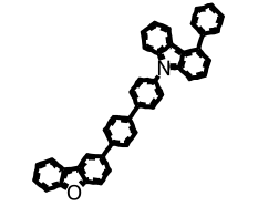 c1ccc(-c2cccc3c2c2ccccc2n3-c2ccc(-c3ccc(-c4ccc5oc6ccccc6c5c4)cc3)cc2)cc1